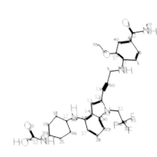 CNC(=O)c1ccc(NCC#Cc2cc3c(NC4CCC(NC(=O)O)CC4)cccc3n2CC(F)(F)F)c(OC)c1